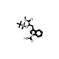 COC(=O)C(Cc1cn(C(=O)O)c2ccccc12)O[Si](C)(C)C(C)(C)C